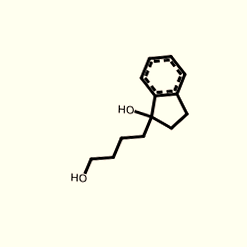 OCCCCC1(O)CCc2ccccc21